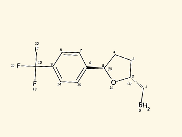 BC[C@H]1CC[C@H](c2ccc(C(F)(F)F)cc2)O1